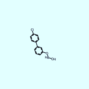 OBOc1cccc(-c2ccc(Cl)cc2)c1